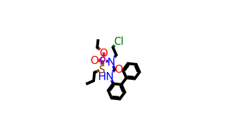 CCCSP(=O)(OCC)N(CCCl)C(=O)Nc1ccccc1-c1ccccc1